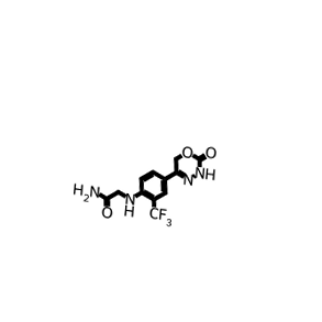 NC(=O)CNc1ccc(C2=NNC(=O)OC2)cc1C(F)(F)F